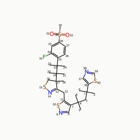 CC(C)(CC(C)(C)c1cnsc1CC1=NSCC1(C)C(C)(C)C(C)(C)c1ccc(S(C)(=O)=O)cc1F)c1cncs1